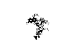 C=C[C@@H]1C[C@]1(NC(=O)[C@@H]1C[C@@H](Oc2ccc(OC)c3ccc(Cl)cc23)CN1C(=O)C(NC)C(C)(C)C)C(=O)NS(=O)(=O)C1CC1